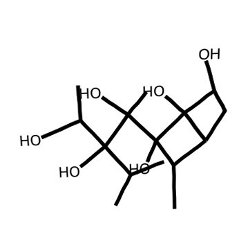 CC(C)C(O)(C(C)O)C(C)(O)C1(O)C(C)C2CC(O)C21O